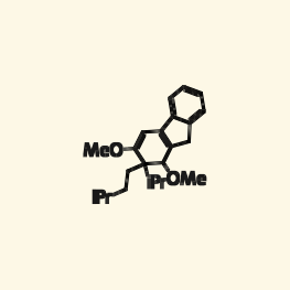 COC1=CC2=C(Cc3ccccc32)C(OC)C1(CCC(C)C)C(C)C